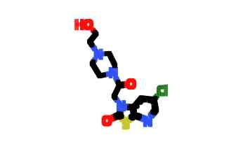 O=C(Cn1c(=O)sc2ncc(Cl)cc21)N1CCN(CCO)CC1